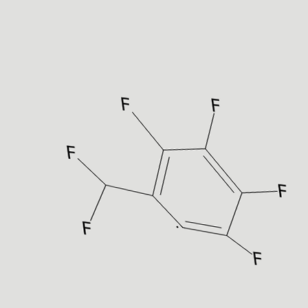 Fc1[c]c(C(F)F)c(F)c(F)c1F